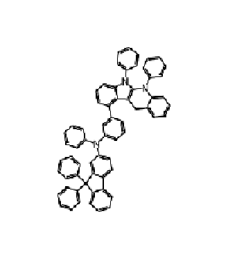 c1ccc(N(c2cccc(-c3cccc4c3c3c(n4-c4ccccc4)N(c4ccccc4)c4ccccc4C3)c2)c2ccc3c(c2)C(c2ccccc2)(c2ccccc2)c2ccccc2-3)cc1